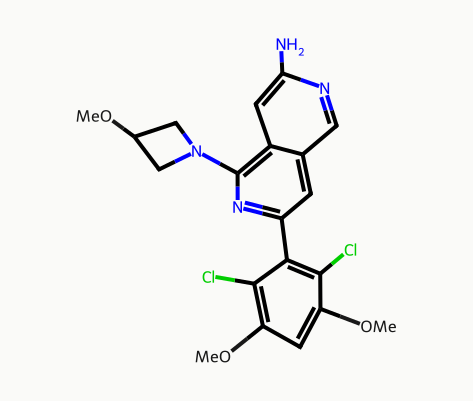 COc1cc(OC)c(Cl)c(-c2cc3cnc(N)cc3c(N3CC(OC)C3)n2)c1Cl